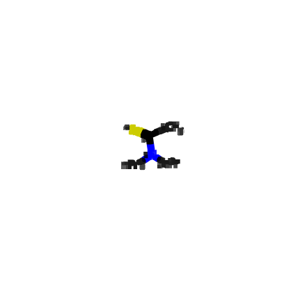 CCCN(CCC)C(=S)C(F)(F)F